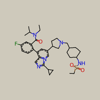 CCN(C(=O)c1cc(F)ccc1-c1cc(C2CCN(CC3CCC(NS(=O)(=O)CC)CC3)C2)cn2c(C3CC3)ncc12)C(C)C